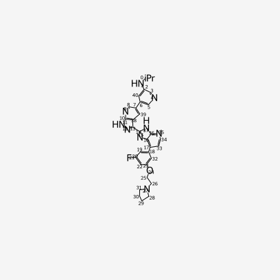 CC(C)Nc1cncc(-c2cnc3[nH]nc(-c4nc5c(-c6cc(F)cc(OCCN7CCCC7)c6)ccnc5[nH]4)c3c2)c1